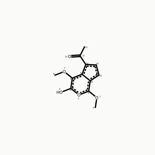 COc1oc(O)c(OC)c2c(C(C)=O)ccc1-2